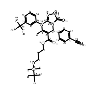 CC1=C(C(=O)OCCCO[Si](C)(C)C(C)(C)C)[C@@H](c2ccc(C#N)cc2)n2c(n[nH]c2=O)N1c1cccc(C(F)(F)F)c1